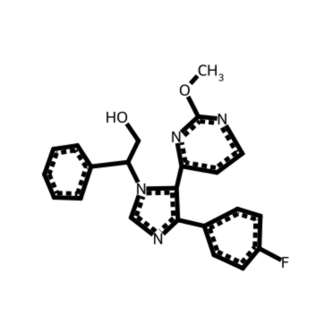 COc1nccc(-c2c(-c3ccc(F)cc3)ncn2C(CO)c2ccccc2)n1